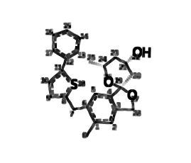 Cc1cc2c(cc1Cc1ccc(-c3ccccc3)s1)[C@]1(C[C@@H](O)C[C@@H](C)O1)OC2